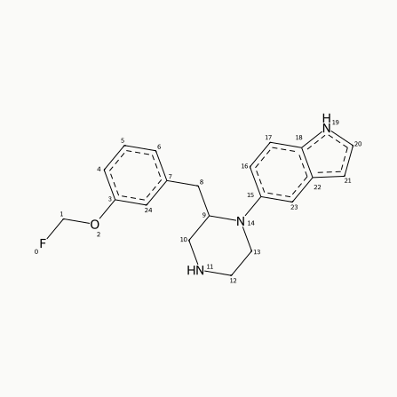 FCOc1cccc(CC2CNCCN2c2ccc3[nH]ccc3c2)c1